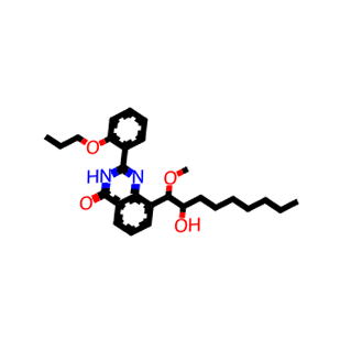 CCCCCCCC(O)C(OC)c1cccc2c(=O)[nH]c(-c3ccccc3OCCC)nc12